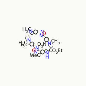 CC1CCCCN1c1ccc(-c2nc(-c3ccc4c(ccn4C)c3)no2)cc1[N+](=O)[O-].CCOC(=O)c1cc2cc(-c3noc(-c4ccc(N5CCCCC5C)c(C(F)(F)F)c4)n3)c(OC)cc2[nH]1